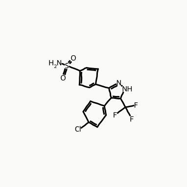 NS(=O)(=O)c1ccc(-c2n[nH]c(C(F)(F)F)c2-c2ccc(Cl)cc2)cc1